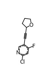 Fc1cc(Cl)ncc1C#CC1CCCO1